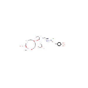 CC[C@H]1OC(=O)[C@H](C)[C@@H](O[C@H]2C[C@@](C)(OC)C[C@H](C)O2)C[C@@H](O[C@H]2C[C@@H](N(C)CCc3cn([C@H](CF)COCc4ccc(S(C)(=O)=O)cc4)nn3)C[C@@H](C)O2)[C@H](O)C[C@@H](C)CN(C)[C@H](C)[C@@H](O)[C@]1(C)O